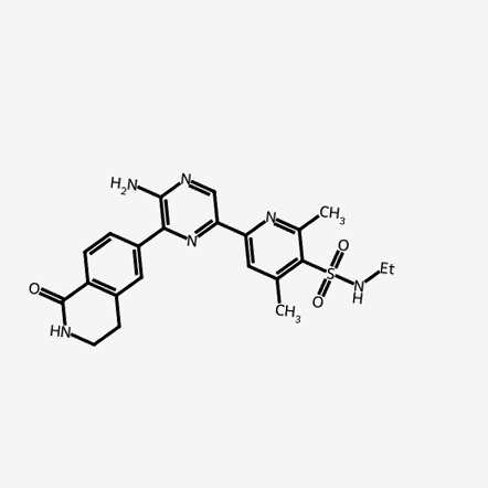 CCNS(=O)(=O)c1c(C)cc(-c2cnc(N)c(-c3ccc4c(c3)CCNC4=O)n2)nc1C